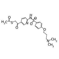 CC(=O)SCC(=O)c1ccc(NS(=O)(=O)c2ccc(OCCCN(C)C)cc2)nc1